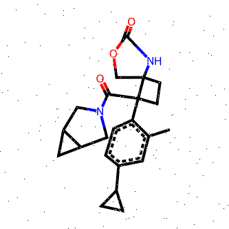 Cc1cc(C2CC2)ccc1C1(C(=O)N2CC3CC3C2)CCC12COC(=O)N2